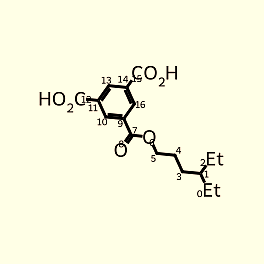 CCC(CC)CCCOC(=O)c1cc(C(=O)O)cc(C(=O)O)c1